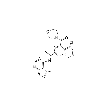 Cc1c[nH]c2ncnc(N[C@@H](C)c3cc4cccc(Cl)c4c(C(=O)N4CCOCC4)n3)c12